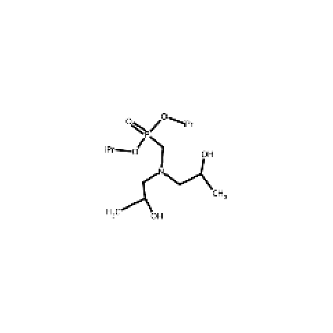 CC(O)CN(CC(C)O)CP(=O)(OC(C)C)OC(C)C